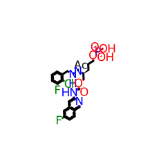 CC(=O)N(NCc1cccc(F)c1Cl)[C@@H](CCCOP(=O)(O)O)COC(=O)Nc1cc2cc(F)ccc2cn1